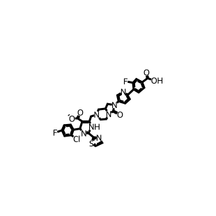 COC(=O)C1=C(CN2CCN3C(=O)N(c4ccc(-c5ccc(C(=O)O)cc5F)nc4)CC3C2)NC(c2nccs2)=NC1c1ccc(F)cc1Cl